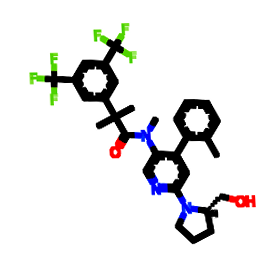 Cc1ccccc1-c1cc(N2CCC[C@H]2CO)ncc1N(C)C(=O)C(C)(C)c1cc(C(F)(F)F)cc(C(F)(F)F)c1